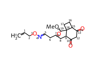 C=CCON=CCCCC1C(=O)CC(=O)C2CCC12C(=O)OC